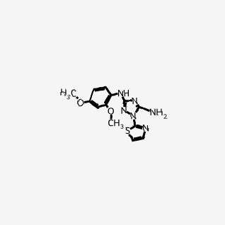 COc1ccc(Nc2nc(N)n(-c3nccs3)n2)c(OC)c1